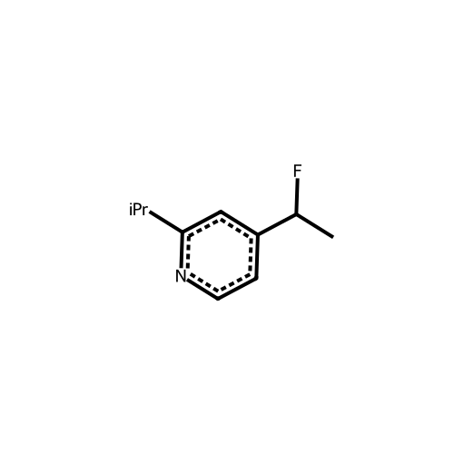 CC(C)c1cc(C(C)F)ccn1